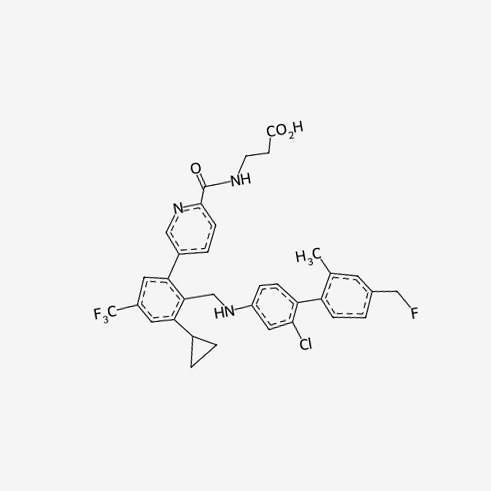 Cc1cc(CF)ccc1-c1ccc(NCc2c(-c3ccc(C(=O)NCCC(=O)O)nc3)cc(C(F)(F)F)cc2C2CC2)cc1Cl